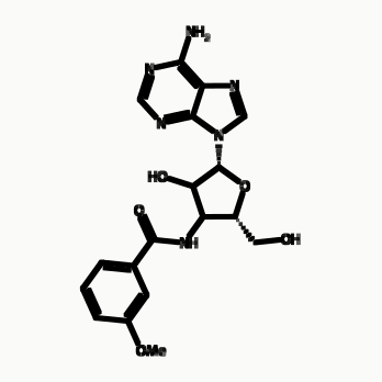 COc1cccc(C(=O)NC2C(O)[C@H](n3cnc4c(N)ncnc43)O[C@@H]2CO)c1